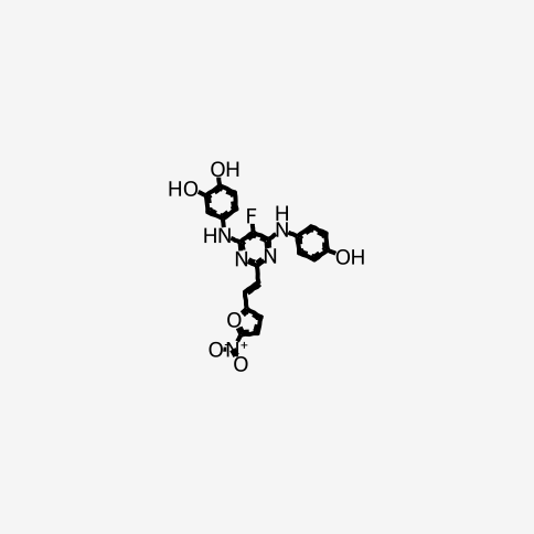 O=[N+]([O-])c1ccc(/C=C/c2nc(Nc3ccc(O)cc3)c(F)c(Nc3ccc(O)c(O)c3)n2)o1